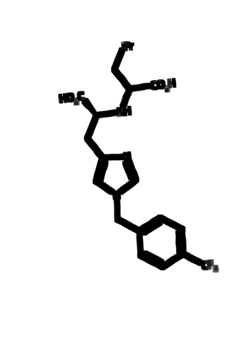 CC(C)CC(N[C@@H](Cc1cn(Cc2ccc(C(F)(F)F)cc2)cn1)C(=O)O)C(=O)O